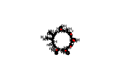 CCCC[C@H]1C(=O)N(C)[C@@H](CCCC)C(=O)N[C@@H](CCCNC(=N)N)C(=O)N[C@H](CC(=O)NCC(N)=O)CSCC(=O)N[C@@H](Cc2ccc(O)cc2)C(=O)N(C)[C@@H](C)C(=O)N[C@@H](CCN)C(=O)N2CCC[C@H]2C(=O)N[C@@H](Cc2c[nH]cn2)C(=O)N[C@@H](CC(C)C)C(=O)N2CCC[C@H]2C(=O)N[C@@H](Cc2c[nH]c3ccccc23)C(=O)N[C@@H](C)C(=O)N[C@@H](Cc2c[nH]c3ccccc23)C(=O)N1C